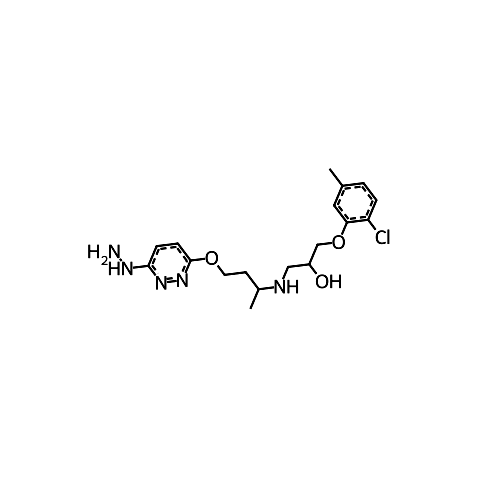 Cc1ccc(Cl)c(OCC(O)CNC(C)CCOc2ccc(NN)nn2)c1